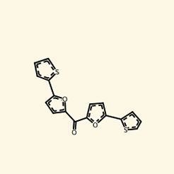 O=C(c1ccc(-c2cccs2)o1)c1ccc(-c2cccs2)o1